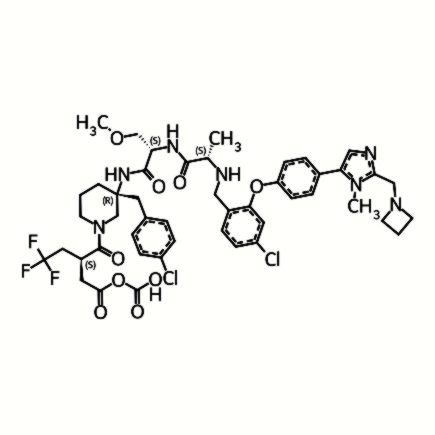 COC[C@H](NC(=O)[C@H](C)NCc1ccc(Cl)cc1Oc1ccc(-c2cnc(CN3CCC3)n2C)cc1)C(=O)N[C@@]1(Cc2ccc(Cl)cc2)CCCN(C(=O)[C@@H](CC(=O)OC(=O)O)CC(F)(F)F)C1